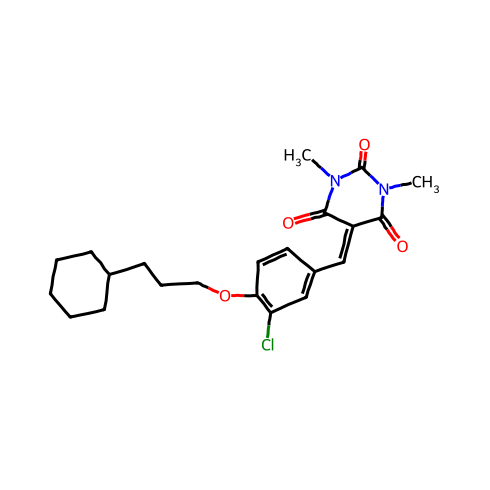 CN1C(=O)C(=Cc2ccc(OCCCC3CCCCC3)c(Cl)c2)C(=O)N(C)C1=O